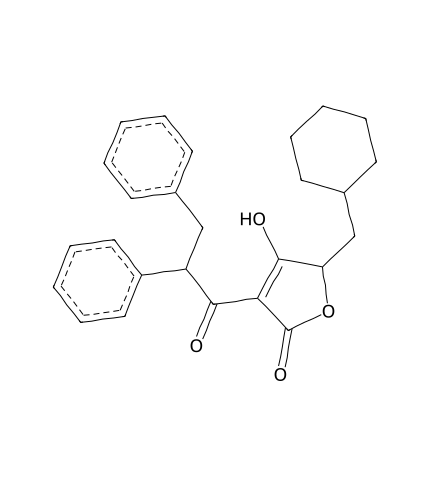 O=C1OC(CC2CCCCC2)C(O)=C1C(=O)C(Cc1ccccc1)c1ccccc1